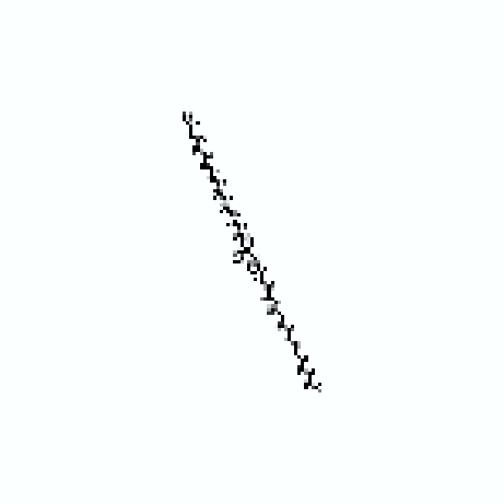 CCCCCCCCCCCCCCCCCOCC(=O)OCCCCCCCCCCCCCCCCC